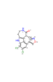 CC1C(=O)NCCc2[nH]c3c(Cl)c(Cl)cc(-c4cnoc4)c3c21